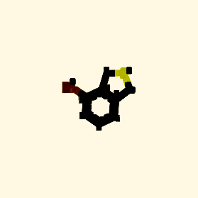 Brc1cccc2c1CSC2